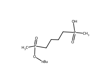 CCCCOP(C)(=O)CCCCP(C)(=O)O